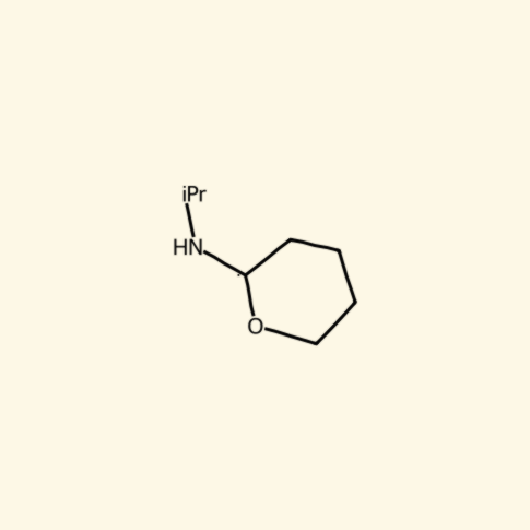 CC(C)N[C]1CCCCO1